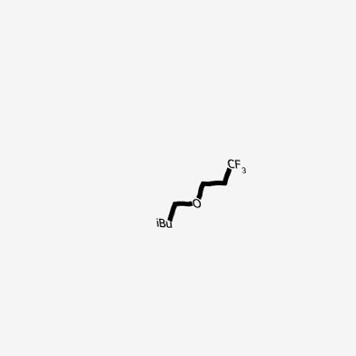 CCC(C)COCCC(F)(F)F